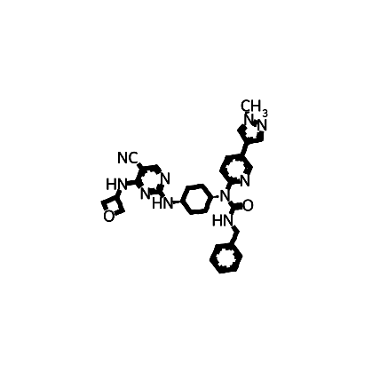 Cn1cc(-c2ccc(N(C(=O)NCc3ccccc3)[C@H]3CC[C@H](Nc4ncc(C#N)c(NC5COC5)n4)CC3)nc2)cn1